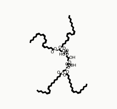 CCCCC/C=C\C/C=C\C/C=C\C/C=C\CCCC(=O)OC[C@H](COP(=O)(O)OCC(O)COP(=O)(O)OC[C@@H](COC(=O)CCCCCCC/C=C\C/C=C\CCCCC)OC(=O)CCCCCCC/C=C\C/C=C\CCCCC)OC(=O)CCC/C=C\C/C=C\C/C=C\CCCCCCCC